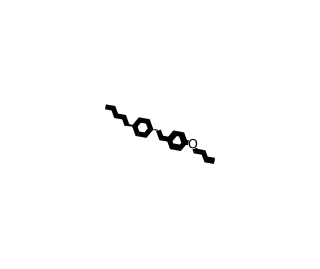 C=CCCOc1ccc(CC[C@H]2CC[C@H](CCCCC)CC2)cc1